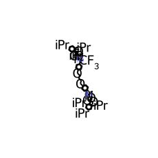 C/C(=N\OS(=O)(=O)c1c(C(C)C)cc(C(C)C)cc1C(C)C)c1ccc(OCCCOc2ccc(/C(=N/OS(=O)(=O)c3c(C(C)C)cc(C(C)C)cc3C(C)C)C(F)(F)F)cc2)cc1